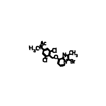 CC(=O)N(C)c1cc(Cl)c(COc2cccn3c(Br)c(C)nc23)c(Cl)c1